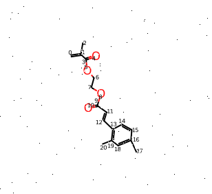 C=C(C)C(=O)OCCOC(=O)/C=C/c1ccc(C)cc1C